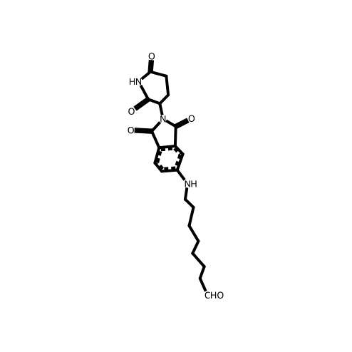 O=CCCCCCCCNc1ccc2c(c1)C(=O)N(C1CCC(=O)NC1=O)C2=O